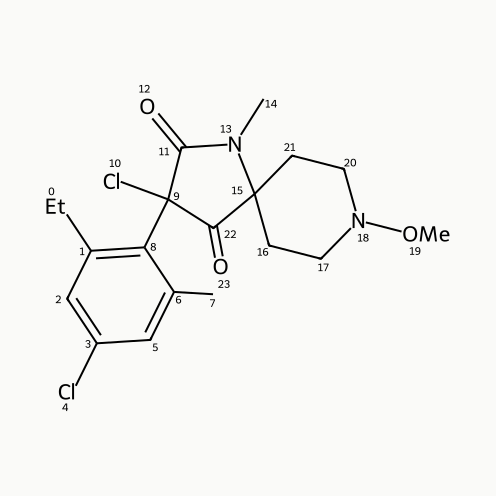 CCc1cc(Cl)cc(C)c1C1(Cl)C(=O)N(C)C2(CCN(OC)CC2)C1=O